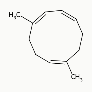 CC1=CC=CCCC(C)=CCC1